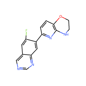 Fc1cc2cncnc2cc1-c1ccc2c(n1)NCCO2